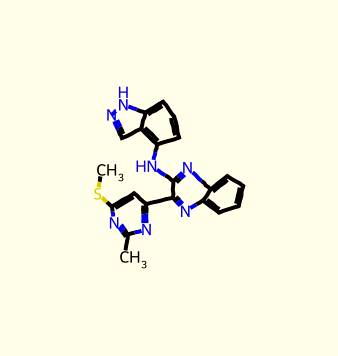 CSc1cc(-c2nc3ccccc3nc2Nc2cccc3[nH]ncc23)nc(C)n1